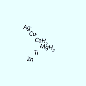 [Ag].[CaH2].[Cu].[MgH2].[Ti].[Zn]